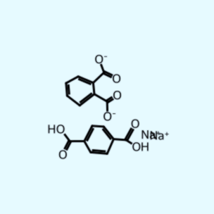 O=C(O)c1ccc(C(=O)O)cc1.O=C([O-])c1ccccc1C(=O)[O-].[Na+].[Na+]